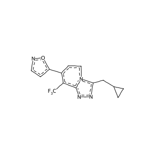 FC(F)(F)c1c(-c2ccno2)ccn2c(CC3CC3)nnc12